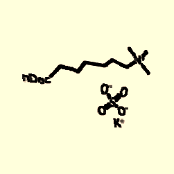 CCCCCCCCCCCCCCCC[N+](C)(C)C.O=S(=O)([O-])[O-].[K+]